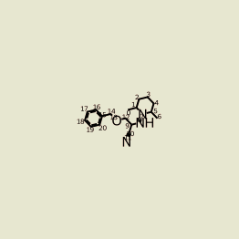 CC1CCCC(C)N1NC(C#N)COCc1ccccc1